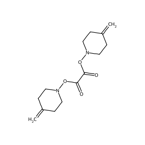 C=C1CCN(OC(=O)C(=O)ON2CCC(=C)CC2)CC1